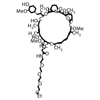 CCOCCOCCOCCOCCNC(=O)CO/N=C1\[C@H](C)C[C@H](C)/C=C/C=C/C=C(\C)[C@@H](OC)C[C@@H]2CC[C@@H](C)[C@@](O)(O2)C(=O)C(=O)N2CCCC[C@H]2C(=O)O[C@H]([C@H](C)C[C@@H]2CC[C@@H](O)[C@H](OC)C2)C[C@@H](O)[C@H](C)/C=C(\C)[C@@H](O)[C@H]1OC